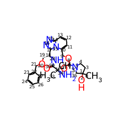 CC1(O)CCN(C(=O)OCc2cccc3nnc([C@@H](COCc4ccccc4)NC(=O)C(C)(C)N)n23)C1